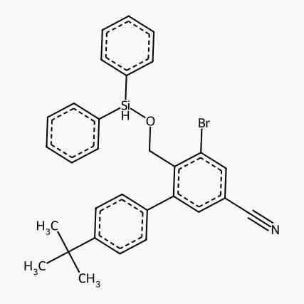 CC(C)(C)c1ccc(-c2cc(C#N)cc(Br)c2CO[SiH](c2ccccc2)c2ccccc2)cc1